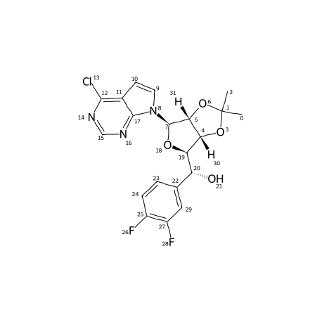 CC1(C)O[C@H]2[C@@H](O1)[C@H](n1ccc3c(Cl)ncnc31)O[C@@H]2[C@H](O)c1ccc(F)c(F)c1